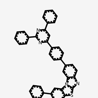 c1ccc(-c2ccc3sc4nc5ccc(-c6ccc(-c7cc(-c8ccccc8)nc(-c8ccccc8)n7)cc6)cc5n4c3c2)cc1